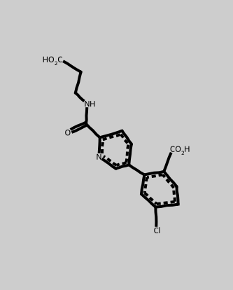 O=C(O)CCNC(=O)c1ccc(-c2cc(Cl)ccc2C(=O)O)cn1